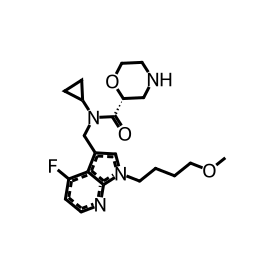 COCCCCn1cc(CN(C(=O)[C@H]2CNCCO2)C2CC2)c2c(F)ccnc21